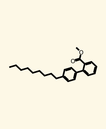 CCCCCCCCCc1ccc(-c2ccccc2C(=O)OC)cc1